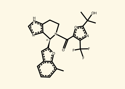 Cc1cccc2cc([C@H]3c4nc[nH]c4CCN3C(=O)c3oc(C(C)(C)O)nc3C(F)(F)F)oc12